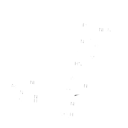 CC(=O)N[C@H](C(=O)N1CCC[C@H]1C(=O)NCC(=O)N1CCC[C@H]1C(=O)N[C@@H](CCCNC(=N)N(C(C)=O)C(C)=O)C(=O)O)C(C)C